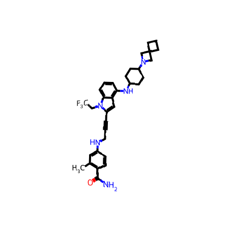 Cc1cc(NCC#Cc2cc3c(NC4CCC(N5CC6(CCC6)C5)CC4)cccc3n2CC(F)(F)F)ccc1C(N)=O